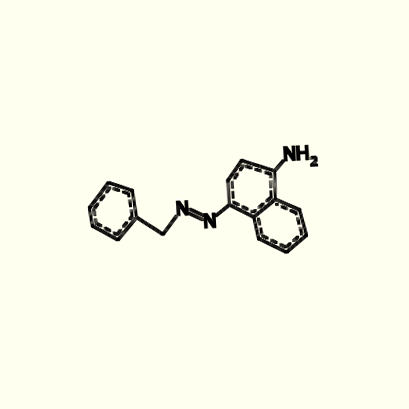 Nc1ccc(N=NCc2ccccc2)c2ccccc12